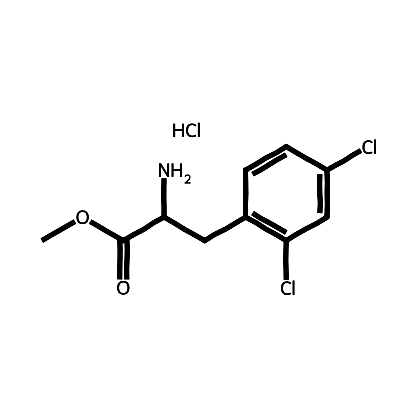 COC(=O)C(N)Cc1ccc(Cl)cc1Cl.Cl